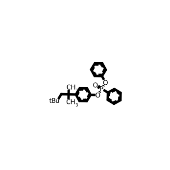 CC(C)(C)CC(C)(C)c1ccc(OP(=O)(Oc2ccccc2)c2ccccc2)cc1